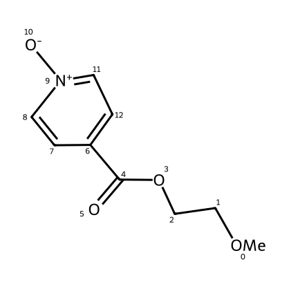 COCCOC(=O)c1cc[n+]([O-])cc1